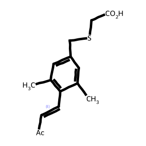 CC(=O)/C=C/c1c(C)cc(CSCC(=O)O)cc1C